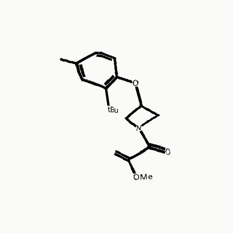 C=C(OC)C(=O)N1CC(Oc2ccc(C)cc2C(C)(C)C)C1